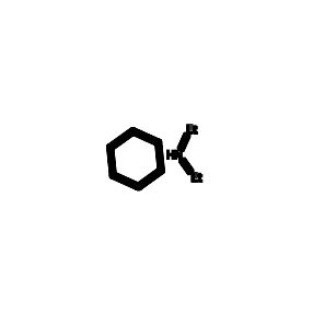 C1CCCCC1.CCNCC